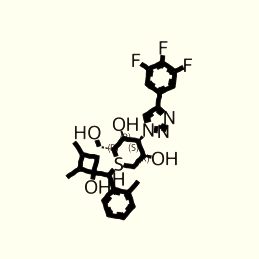 Cc1ccccc1C([SH]1C[C@H](O)[C@H](n2cc(-c3cc(F)c(F)c(F)c3)nn2)[C@@H](O)[C@H]1CO)C1(O)CC(C)C1C